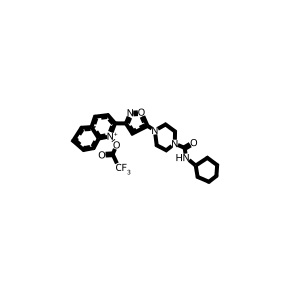 O=C(NC1CCCCC1)N1CCN(c2cc(-c3ccc4ccccc4[n+]3OC(=O)C(F)(F)F)no2)CC1